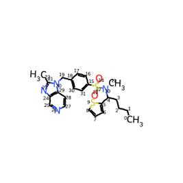 CCCCC(c1cccs1)N(C)S(=O)(=O)c1ccc(Cn2c(C)nc3cnccc32)cc1